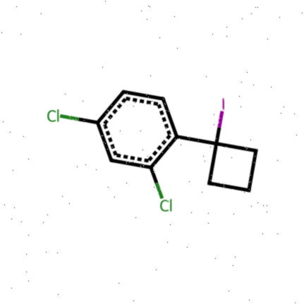 Clc1ccc(C2(I)CCC2)c(Cl)c1